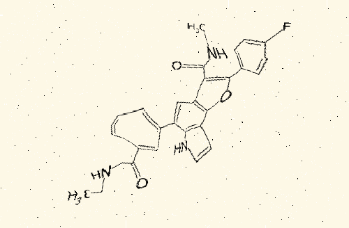 CCNC(=O)c1cccc(-c2cc3c(C(=O)NC)c(-c4ccc(F)cc4)oc3c3cc[nH]c23)c1